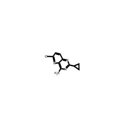 Nc1nc(C2CC2)nc2ccc(Cl)nc12